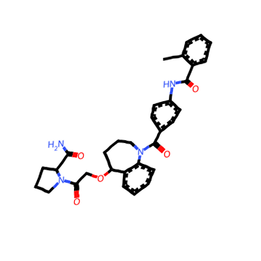 Cc1ccccc1C(=O)Nc1ccc(C(=O)N2CCCC(OCC(=O)N3CCCC3C(N)=O)c3ccccc32)cc1